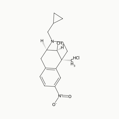 C[C@@H]1[C@H]2Cc3ccc([N+](=O)[O-])cc3[C@]1(C)CCN2CC1CC1.Cl